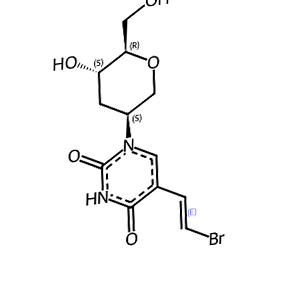 O=c1[nH]c(=O)n([C@@H]2CO[C@H](CO)[C@@H](O)C2)cc1/C=C/Br